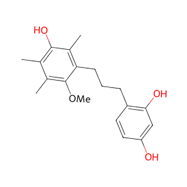 COc1c(C)c(C)c(O)c(C)c1CCCc1ccc(O)cc1O